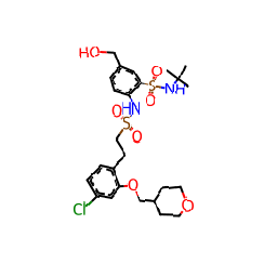 CC(C)(C)NS(=O)(=O)c1cc(CO)ccc1NS(=O)(=O)CCc1ccc(Cl)cc1OCC1CCOCC1